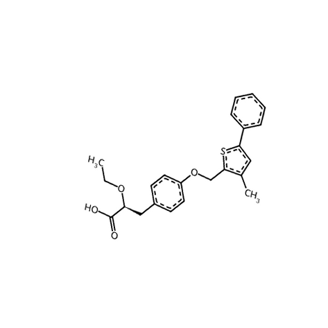 CCO[C@@H](Cc1ccc(OCc2sc(-c3ccccc3)cc2C)cc1)C(=O)O